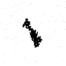 O=C(O[C@H]1C[N+]2(CCCOc3ccc(F)cc3F)CCC1CC2)N(Cc1ccccc1)c1ccccc1